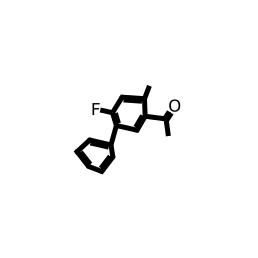 CC(=O)c1cc(-c2ccccc2)c(F)cc1C